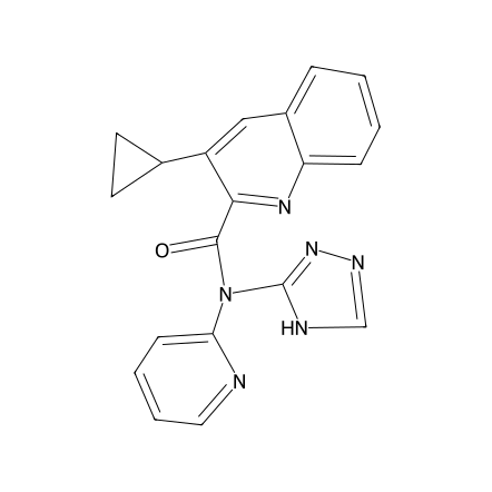 O=C(c1nc2ccccc2cc1C1CC1)N(c1ccccn1)c1nnc[nH]1